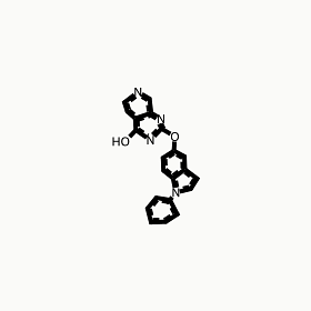 Oc1nc(Oc2ccc3c(ccn3-c3ccccc3)c2)nc2cnccc12